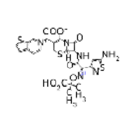 CC(C)(O/N=C(\C(=O)NC1C(=O)N2C(C(=O)[O-])=C(C[n+]3ccc4ccsc4c3)CS[C@H]12)c1cc(N)sn1)C(=O)O